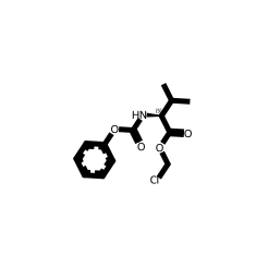 CC(C)[C@H](NC(=O)Oc1ccccc1)C(=O)OCCl